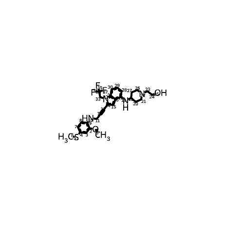 COc1cc(SC)ccc1NCC#Cc1cc2c(NC3CCN(CCO)CC3)cccc2n1CC(F)(F)F